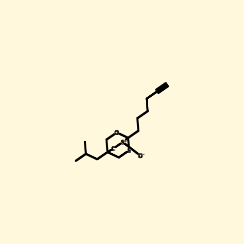 C#CCCCCC12OCC(CC(C)C)(CS1)C[S+]2[O-]